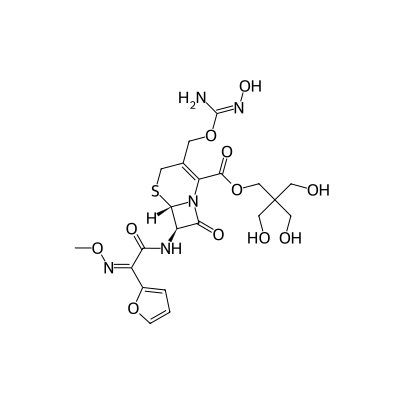 CO/N=C(\C(=O)N[C@@H]1C(=O)N2C(C(=O)OCC(CO)(CO)CO)=C(CO/C(N)=N/O)CS[C@@H]12)c1ccco1